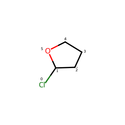 ClC1[CH]CCO1